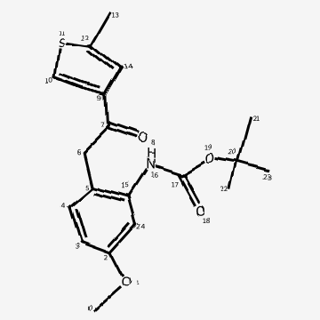 COc1ccc(CC(=O)c2csc(C)c2)c(NC(=O)OC(C)(C)C)c1